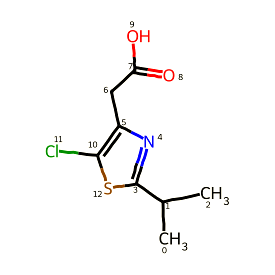 CC(C)c1nc(CC(=O)O)c(Cl)s1